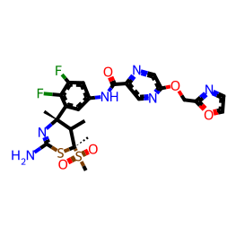 CC1[C@@](C)(S(C)(=O)=O)SC(N)=N[C@]1(C)c1cc(NC(=O)c2cnc(OCc3ncco3)cn2)cc(F)c1F